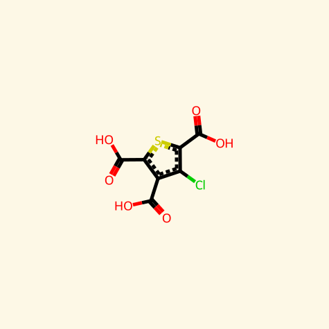 O=C(O)c1sc(C(=O)O)c(C(=O)O)c1Cl